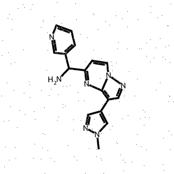 Cn1cc(-c2cnn3ccc(C(N)c4cccnc4)nc23)cn1